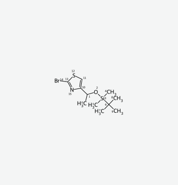 CC(O[Si](C)(C)C(C)(C)C)c1csc(Br)n1